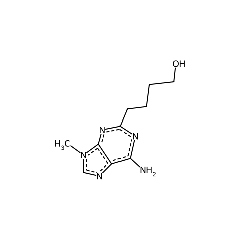 Cn1cnc2c(N)nc(CCCCO)nc21